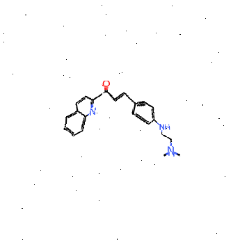 CN(C)CCNc1ccc(C=CC(=O)c2ccc3ccccc3n2)cc1